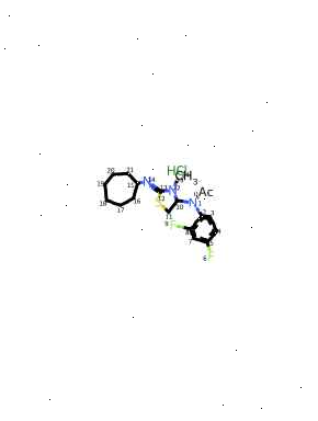 CC(=O)N(c1ccc(F)cc1F)C1CSC(=NC2CCCCCC2)N1C.Cl